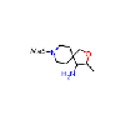 CSN1CCC2(CC1)COC(C)C2N